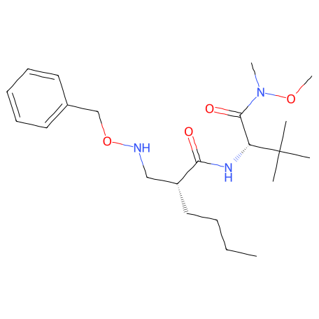 CCCC[C@H](CNOCc1ccccc1)C(=O)N[C@H](C(=O)N(C)OC)C(C)(C)C